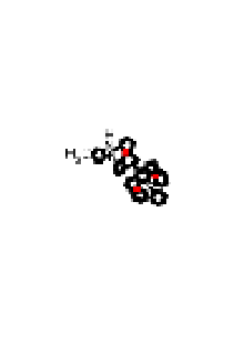 Cc1ccc2c(c1)NC(c1ccccc1)N2c1cccc2c(-c3c4ccccc4c(S(c4ccccc4)(c4ccccc4)c4ccccc4)c4ccccc34)cccc12